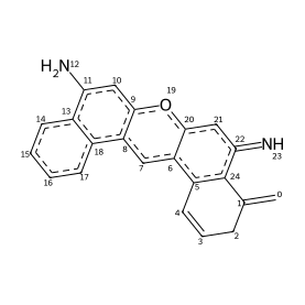 C=C1CC=Cc2c3cc4c(cc(N)c5ccccc54)oc-3cc(=N)c21